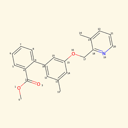 COC(=O)c1ccccc1-c1cc(C)cc(OCc2ncccc2C)c1